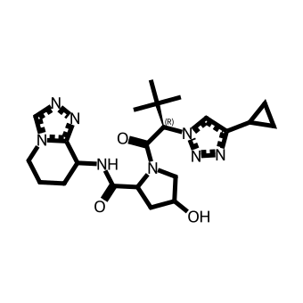 CC(C)(C)[C@H](C(=O)N1CC(O)CC1C(=O)NC1CCCn2cnnc21)n1cc(C2CC2)nn1